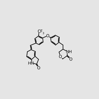 O=C1CC2=CC(=Cc3ccc(Oc4ccc(CC5COCC(=O)N5)cc4)c(C(F)(F)F)c3)CC=C2N1